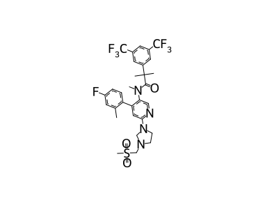 Cc1cc(F)ccc1-c1cc(N2CCN(CS(C)(=O)=O)C2)ncc1N(C)C(=O)C(C)(C)c1cc(C(F)(F)F)cc(C(F)(F)F)c1